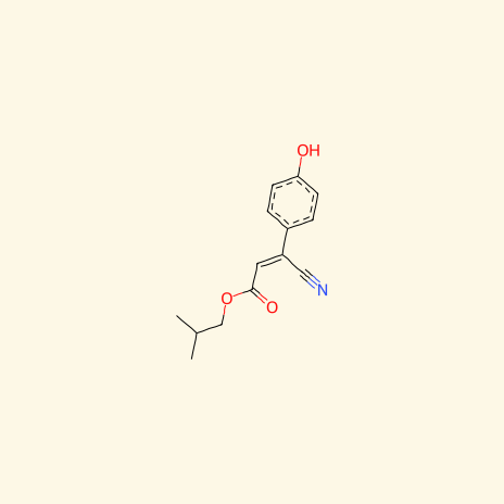 CC(C)COC(=O)C=C(C#N)c1ccc(O)cc1